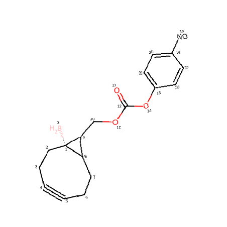 B[C@@]12CCC#CCCC1C2COC(=O)Oc1ccc(N=O)cc1